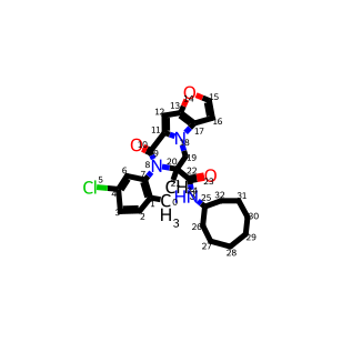 Cc1ccc(Cl)cc1N1C(=O)c2cc3occc3n2CC1(C)C(=O)NC1CCCCCCC1